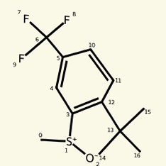 C[S+]([O-])c1cc(C(F)(F)F)ccc1C(C)(C)C